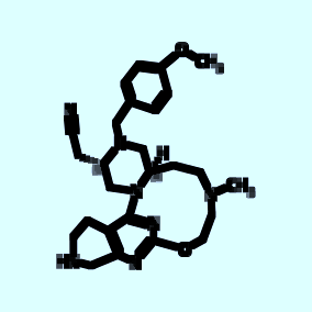 COc1ccc(CN2C[C@H]3CCN(C)CCOc4nc5c(c(n4)N3C[C@@H]2CC#N)CCNC5)cc1